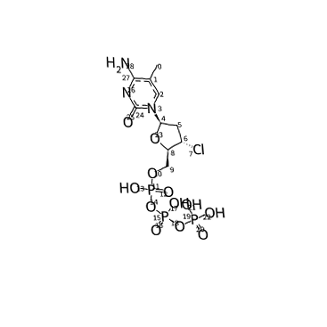 Cc1cn([C@H]2C[C@H](Cl)[C@@H](COP(=O)(O)OP(=O)(O)OP(=O)(O)O)O2)c(=O)nc1N